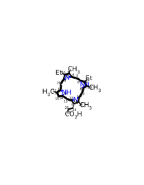 CCC1=C(C)c2cc3[nH]c(cc4nc(cc5cc(C)c(cc1n2)[nH]5)[C@H](CCC(=O)O)[C@@H]4C)c(C)c3CC